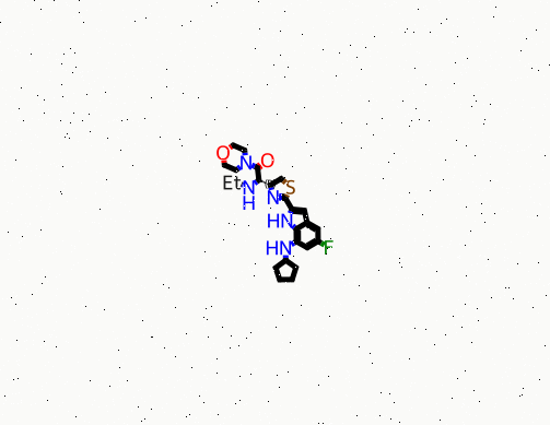 CCNC(C(=O)N1CCOCC1)[C@@H]1CSC(c2cc3cc(F)cc(NC4CCCC4)c3[nH]2)=N1